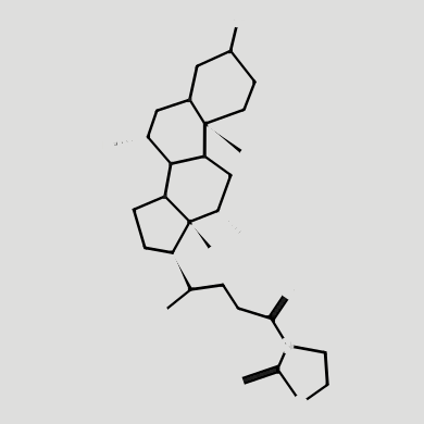 CC(CCC(=O)N1CCSC1=S)[C@H]1CCC2C3C(C[C@H](O)[C@@]21C)[C@@]1(C)CCC(O)CC1C[C@H]3O